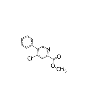 COC(=O)c1cc(Cl)c(-c2ccccc2)cn1